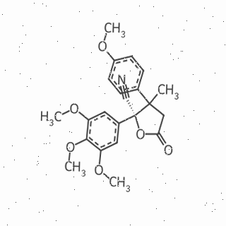 COc1ccc(C2(C)CC(=O)O[C@@]2(C#N)c2cc(OC)c(OC)c(OC)c2)cc1